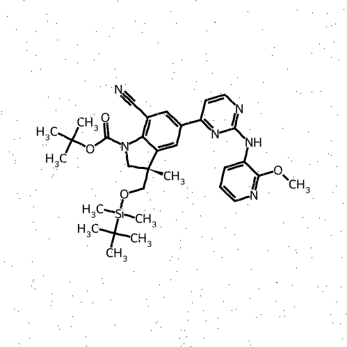 COc1ncccc1Nc1nccc(-c2cc(C#N)c3c(c2)[C@](C)(CO[Si](C)(C)C(C)(C)C)CN3C(=O)OC(C)(C)C)n1